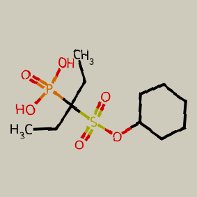 CCC(CC)(P(=O)(O)O)S(=O)(=O)OC1CCCCC1